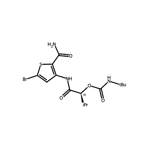 CC(C)[C@H](OC(=O)NC(C)(C)C)C(=O)Nc1cc(Br)sc1C(N)=O